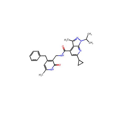 Cc1cc(Cc2ccccc2)c(CNC(=O)c2cc(C3CC3)nc3c2c(C)nn3C(C)C)c(=O)[nH]1